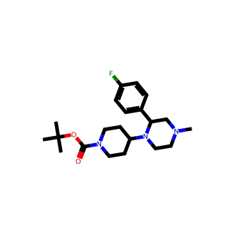 CN1CCN(C2CCN(C(=O)OC(C)(C)C)CC2)C(c2ccc(F)cc2)C1